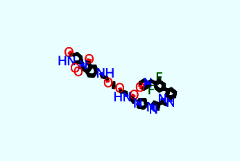 O=C(CN1CCC(n2cc(-c3cnc4cccc(-c5cc(F)c(CN6CCOCC6)c(F)c5)c4n3)cn2)CC1)NCCOCCOCCNc1ccc2c(c1)C(=O)N(C1CCC(=O)NC1=O)C2=O